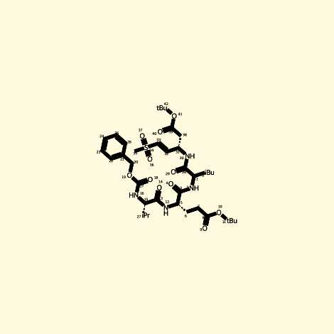 CCC(C)C(NC(=O)[C@H](CCC(=O)OC(C)(C)C)NC(=O)[C@@H](NC(=O)OCc1ccccc1)C(C)C)C(=O)N[C@H](/C=C/S(C)(=O)=O)CC(=O)OC(C)(C)C